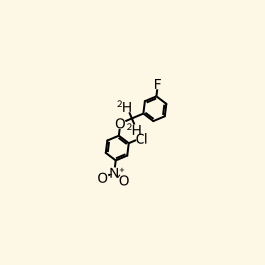 [2H]C([2H])(Oc1ccc([N+](=O)[O-])cc1Cl)c1cccc(F)c1